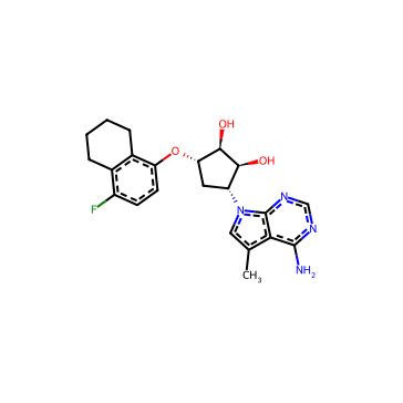 Cc1cn([C@@H]2C[C@H](Oc3ccc(F)c4c3CCCC4)[C@@H](O)[C@H]2O)c2ncnc(N)c12